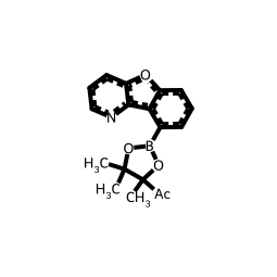 CC(=O)C1(C)OB(c2cccc3oc4cccnc4c23)OC1(C)C